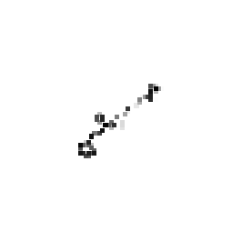 COC(=O)CCCCCNC(=O)/C=C/c1cccs1